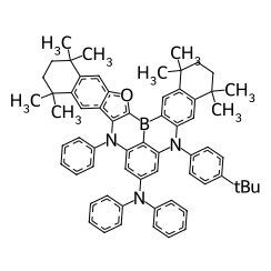 CC(C)(C)c1ccc(N2c3cc4c(cc3B3c5oc6cc7c(cc6c5N(c5ccccc5)c5cc(N(c6ccccc6)c6ccccc6)cc2c53)C(C)(C)CCC7(C)C)C(C)(C)CCC4(C)C)cc1